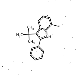 CC(C)(C)c1c(-c2ccccc2)[nH]c2c(F)cccc12